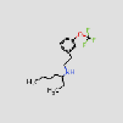 CCCCC(CC)NCCc1cccc(OC(F)(F)F)c1